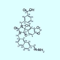 CC1(c2ccc3c(c2)OCO3)C(=O)N(Cc2ccc3ccc(C=NN)cc3c2)C(=O)N1Cc1cccc(C(=O)O)c1